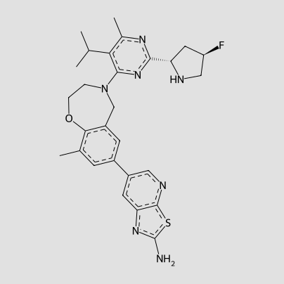 Cc1cc(-c2cnc3sc(N)nc3c2)cc2c1OCCN(c1nc([C@@H]3C[C@@H](F)CN3)nc(C)c1C(C)C)C2